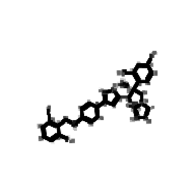 C[C@@H](c1cc(-c2ccc(OCc3c(F)cccc3F)cc2)no1)[C@](O)(Cn1cnnn1)c1ccc(F)cc1F